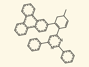 CC1C=CC(c2cc(-c3ccccc3)nc(-c3ccccc3)n2)=C(c2ccc3c4ccccc4c4ccccc4c3c2)C1